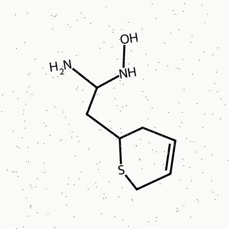 NC(CC1CC=CCS1)NO